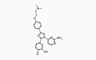 CN(C)CCOc1ccc(-c2cc(-c3ccnc(N)n3)c(-c3ccc(Cl)c(O)c3)o2)cc1